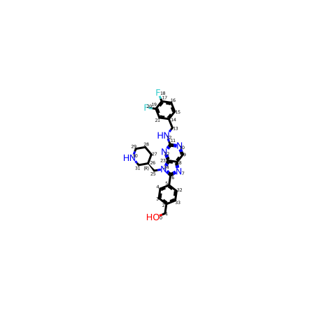 OCc1ccc(-c2nc3cnc(NCc4ccc(F)c(F)c4)nc3n2C[C@@H]2CCCNC2)cc1